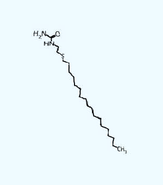 CCCCCCCCCCCCCCCCCCSCCNC(N)=O